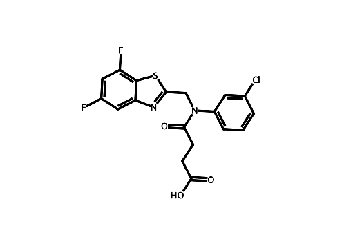 O=C(O)CCC(=O)N(Cc1nc2cc(F)cc(F)c2s1)c1cccc(Cl)c1